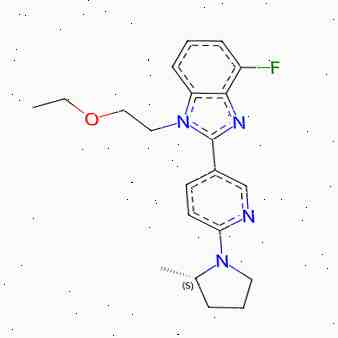 CCOCCn1c(-c2ccc(N3CCC[C@@H]3C)nc2)nc2c(F)cccc21